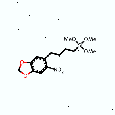 CO[Si](CC[CH]Cc1cc2c(cc1[N+](=O)[O-])OCO2)(OC)OC